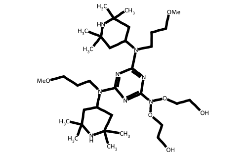 COCCCN(c1nc(N(OCCO)OCCO)nc(N(CCCOC)C2CC(C)(C)NC(C)(C)C2)n1)C1CC(C)(C)NC(C)(C)C1